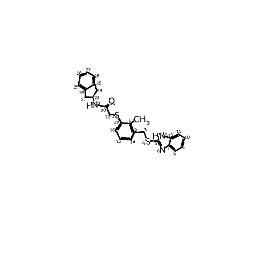 Cc1c(CSc2nc3ccccc3[nH]2)cccc1SCC(=O)NC1Cc2ccccc2C1